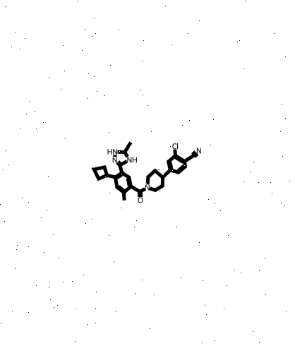 Cc1cc(C2CCC2)c(C2=NNC(C)N2)cc1C(=O)N1CCC(c2ccc(C#N)c(Cl)c2)CC1